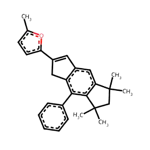 Cc1ccc(C2=Cc3cc4c(c(-c5ccccc5)c3C2)C(C)(C)CC4(C)C)o1